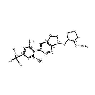 CCN1CCC[C@@H]1CN1CCc2cc(-c3c(C)cc(C(F)(F)F)cc3O)nnc21